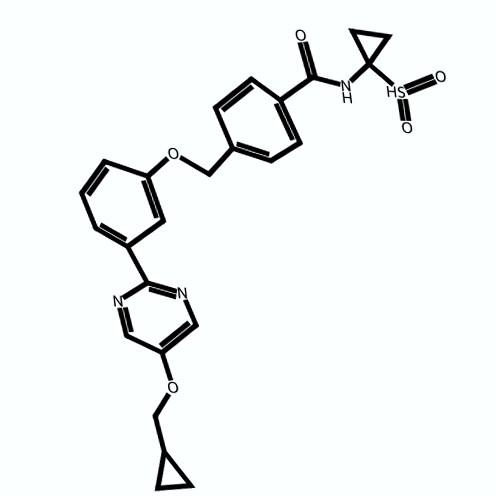 O=C(NC1([SH](=O)=O)CC1)c1ccc(COc2cccc(-c3ncc(OCC4CC4)cn3)c2)cc1